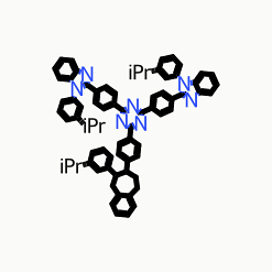 CC(C)c1cccc(C2Cc3ccccc3CCC2c2ccc(-c3nc(-c4ccc(-c5nc6ccccc6n5-c5cccc(C(C)C)c5)cc4)nc(-c4ccc(-c5nc6ccccc6n5-c5cccc(C(C)C)c5)cc4)n3)cc2)c1